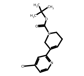 CC(C)(C)OC(=O)N1CCC=C(c2cc(Cl)ccn2)C1